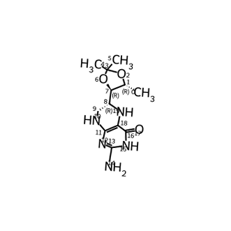 C[C@H]1OC(C)(C)O[C@@H]1[C@H]1CNc2nc(N)[nH]c(=O)c2N1